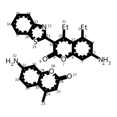 CCc1cc(N)cc2oc(=O)c(-c3nc4ccccc4s3)c(CC)c12.Cc1cc(=O)oc2cc(N)ccc12